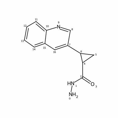 NNC(=O)C1CC1c1cnc2ccccc2c1